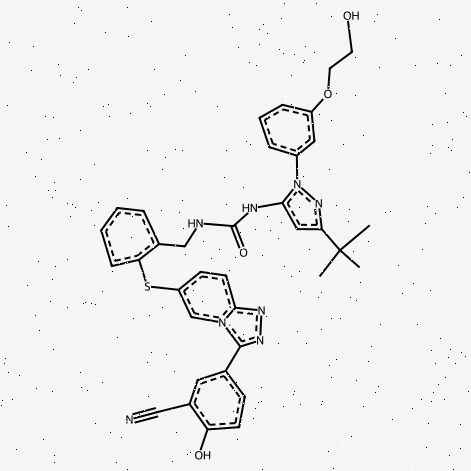 CC(C)(C)c1cc(NC(=O)NCc2ccccc2Sc2ccc3nnc(-c4ccc(O)c(C#N)c4)n3c2)n(-c2cccc(OCCO)c2)n1